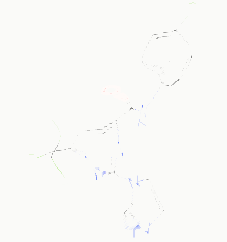 O=C(Nc1ccc(F)cc1)c1cc(C(F)(F)F)nc(-n2ccnc2)n1